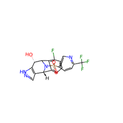 O=S(=O)(c1ccc(C(F)(F)F)nc1)N1C2c3c(F)cccc3[C@@H]1c1cn[nH]c1[C@@H]2O